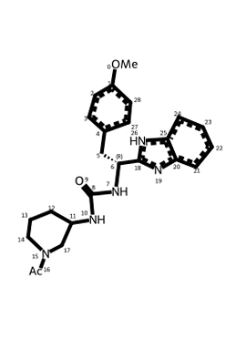 COc1ccc(C[C@@H](NC(=O)NC2CCCN(C(C)=O)C2)c2nc3ccccc3[nH]2)cc1